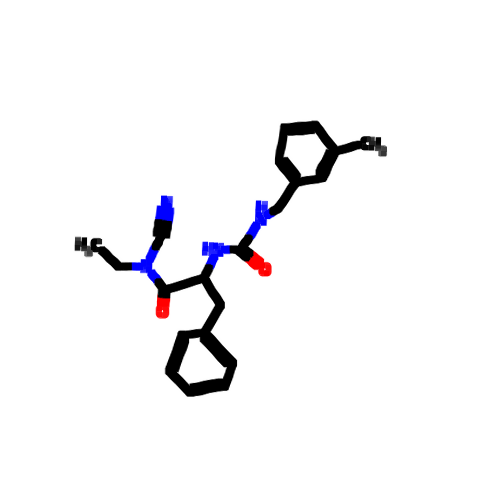 CCN(C#N)C(=O)C(Cc1ccccc1)NC(=O)NCc1cccc(C)c1